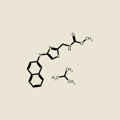 CC(C)C.COC(=O)NCc1nc(Sc2ccc3ccccc3c2)cs1